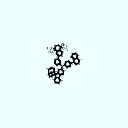 CC1(C)CCC(C)(C)c2cc(-c3cccc(N(c4ccc(-c5cccc6ccccc56)cc4)c4ccc5c(c4)C4(c6ccccc6-5)C5CC6CC7CC4C75C6)c3)ccc21